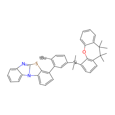 CC(C)(C)c1ccc([Si](C)(C)c2cccc3c2Oc2ccccc2C(C)(C)C3(C)C)cc1-c1cccc2c1sc1nc3ccccc3n12